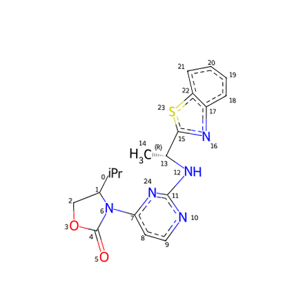 CC(C)C1COC(=O)N1c1ccnc(N[C@H](C)c2nc3ccccc3s2)n1